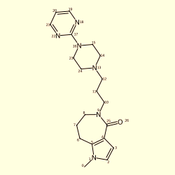 Cn1ccc2c1CCCN(CCCN1CCN(c3ncccn3)CC1)C2=O